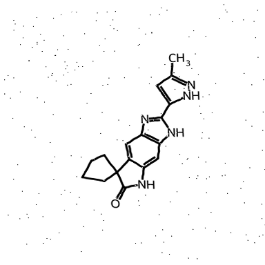 Cc1cc(-c2nc3cc4c(cc3[nH]2)NC(=O)C42CCCC2)[nH]n1